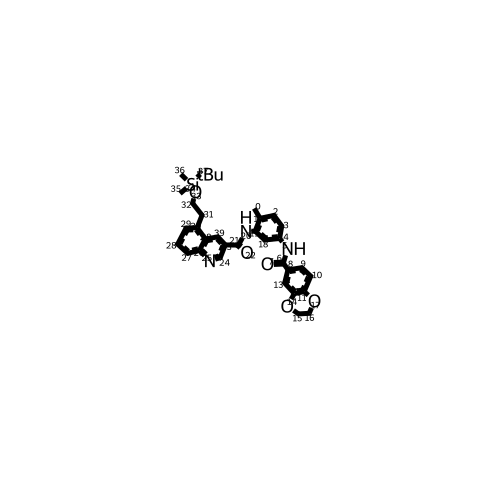 Cc1ccc(NC(=O)c2ccc3c(c2)OCCO3)cc1NC(=O)c1cnc2cccc(CCO[Si](C)(C)C(C)(C)C)c2c1